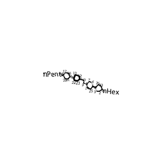 CCCCCC[C@H]1CC[C@H]([C@H]2CC[C@H](CCc3ccc([C@H]4CC[C@H](CCCCC)CC4)cc3)CC2)CC1